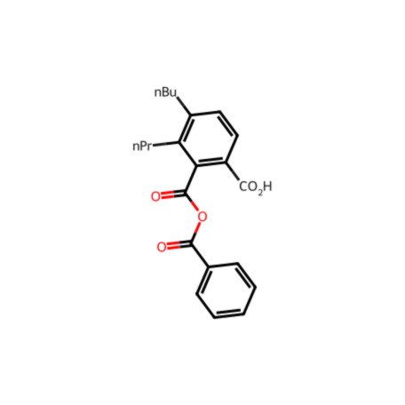 CCCCc1ccc(C(=O)O)c(C(=O)OC(=O)c2ccccc2)c1CCC